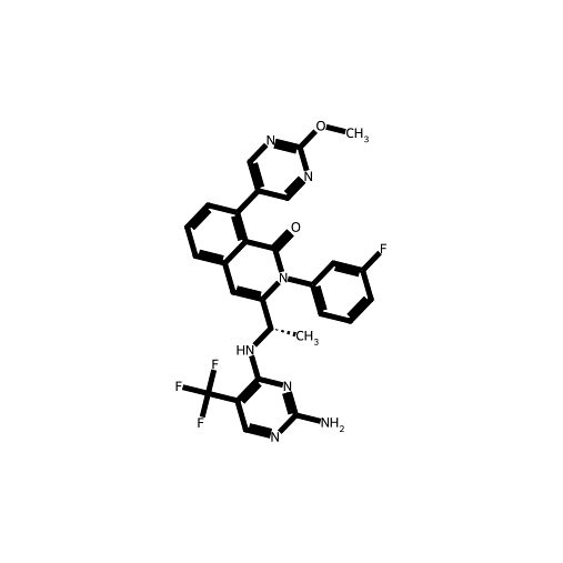 COc1ncc(-c2cccc3cc([C@H](C)Nc4nc(N)ncc4C(F)(F)F)n(-c4cccc(F)c4)c(=O)c23)cn1